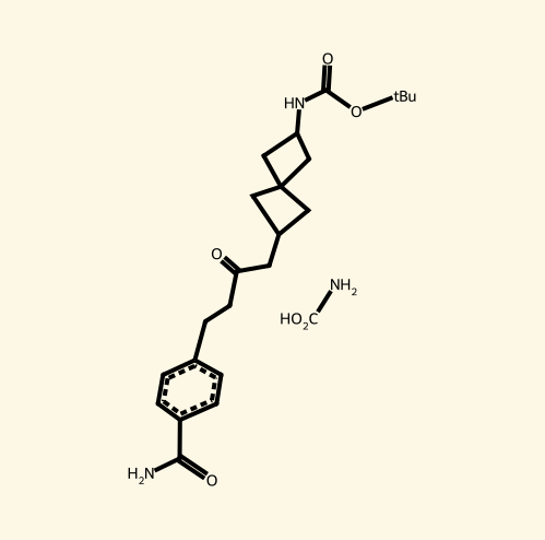 CC(C)(C)OC(=O)NC1CC2(CC(CC(=O)CCc3ccc(C(N)=O)cc3)C2)C1.NC(=O)O